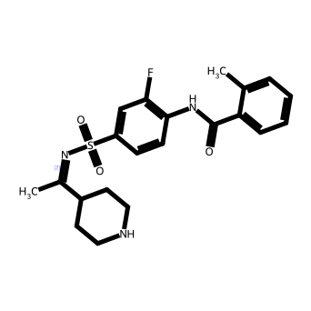 C/C(=N/S(=O)(=O)c1ccc(NC(=O)c2ccccc2C)c(F)c1)C1CCNCC1